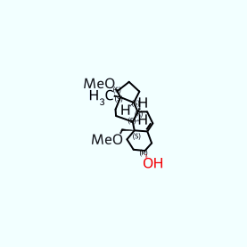 COC[C@]12CC[C@@H](O)CC1=CC[C@@H]1[C@@H]2CC[C@]2(C)[C@@H](OC)CC[C@@H]12